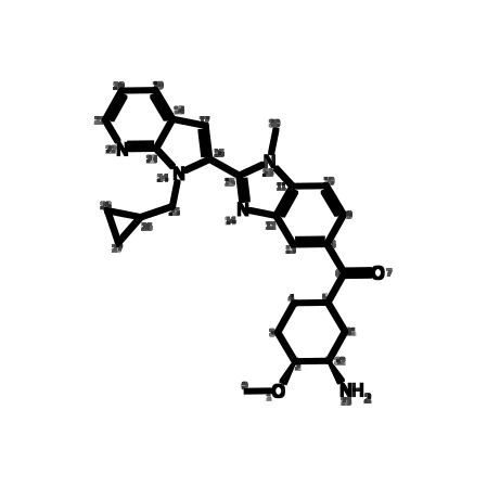 CO[C@H]1CCC(C(=O)c2ccc3c(c2)nc(-c2cc4cccnc4n2CC2CC2)n3C)C[C@H]1N